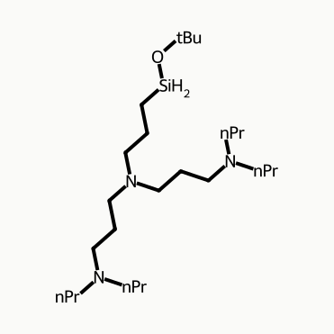 CCCN(CCC)CCCN(CCC[SiH2]OC(C)(C)C)CCCN(CCC)CCC